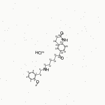 COc1ccccc1CCNCCCCCC(=O)c1ccc2c(c1)CCC(=O)N2.Cl